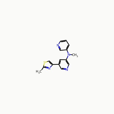 Cc1nc(-c2cncc(N(C)c3cccnc3)c2)cs1